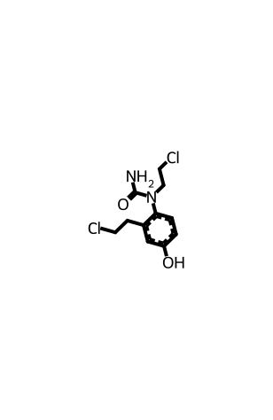 NC(=O)N(CCCl)c1ccc(O)cc1CCCl